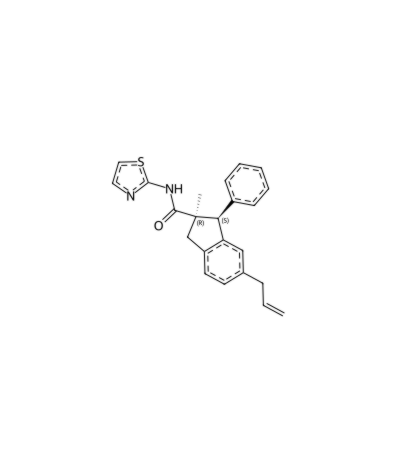 C=CCc1ccc2c(c1)[C@H](c1ccccc1)[C@](C)(C(=O)Nc1nccs1)C2